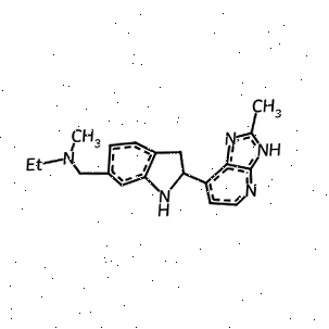 CCN(C)Cc1ccc2c(c1)NC(c1ccnc3[nH]c(C)nc13)C2